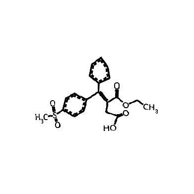 CCOC(=O)C(CC(=O)O)=C(c1ccccc1)c1ccc(S(C)(=O)=O)cc1